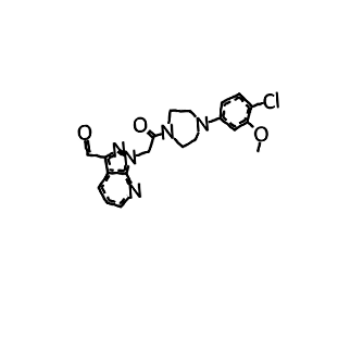 COc1cc(N2CCN(C(=O)Cn3nc(C=O)c4cccnc43)CC2)ccc1Cl